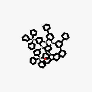 c1ccc(-c2cc(-c3ccccc3)cc(N3c4ccc(-c5ccccc5)cc4B4c5ccc([Si](c6ccccc6)(c6ccccc6)c6ccccc6)cc5N(c5cccc([Si](c6ccccc6)(c6ccccc6)c6ccccc6)c5)c5cc(-n6c7ccccc7c7ccccc76)cc3c54)c2)cc1